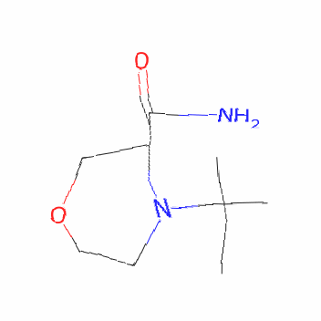 CC(C)(C)N1CCOCC1C(N)=O